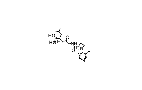 CC(C)CC(NC(=O)CNC(=O)[C@@H]1CCN1c1ncncc1F)B(O)O